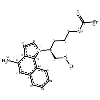 CCOC[C@H](CCCNC(=O)C(C)C)n1cnc2c(N)nc3ccccc3c21